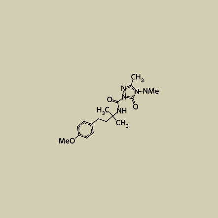 CNn1c(C)nn(C(=O)NC(C)(C)CCc2ccc(OC)cc2)c1=O